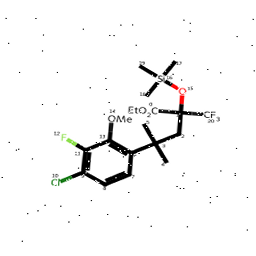 CCOC(=O)C(CC(C)(C)c1ccc(Cl)c(F)c1OC)(O[Si](C)(C)C)C(F)(F)F